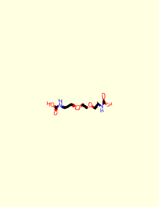 O=C(O)NCCOCCOCCNC(=O)O